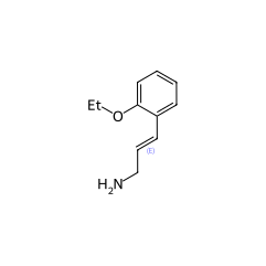 CCOc1ccccc1/C=C/CN